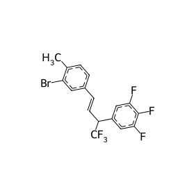 Cc1ccc(/C=C/C(c2cc(F)c(F)c(F)c2)C(F)(F)F)cc1Br